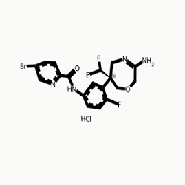 Cl.NC1=NC[C@](c2cc(NC(=O)c3ccc(Br)cn3)ccc2F)(C(F)F)COC1